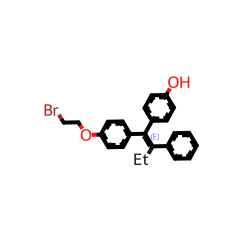 CC/C(=C(/c1ccc(O)cc1)c1ccc(OCCBr)cc1)c1ccccc1